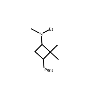 CCCC(C)C1CC(N(C)CC)C1(C)C